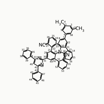 Cc1cc(C)cc(-c2ccc3c(c2)c2ccccc2n3-c2c(-c3ccccc3C#N)cc(-c3nc(-c4ccccc4)cc(-c4ccccc4)n3)cc2-c2ccccc2C#N)c1